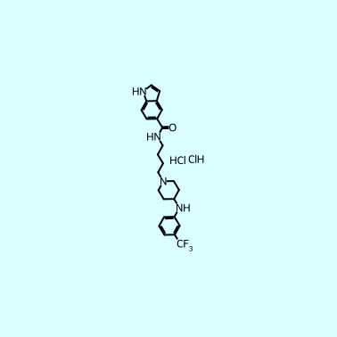 Cl.Cl.O=C(NCCCCN1CCC(Nc2cccc(C(F)(F)F)c2)CC1)c1ccc2[nH]ccc2c1